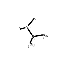 CCCCB(CCCC)N(C)C